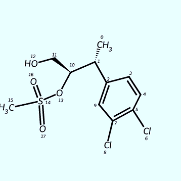 C[C@H](c1ccc(Cl)c(Cl)c1)[C@H](CO)OS(C)(=O)=O